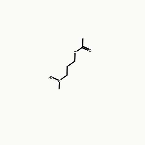 CC(=O)OCCCN(C)S